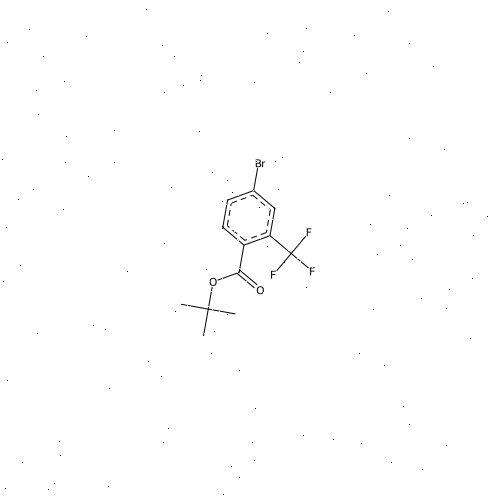 CC(C)(C)OC(=O)c1ccc(Br)cc1C(F)(F)F